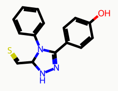 Oc1ccc(C2=NNC(C=S)N2c2ccccc2)cc1